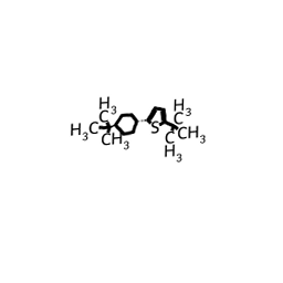 CC(C)(C)c1ccc([C@H]2CC[C@H](C(C)(C)C)CC2)s1